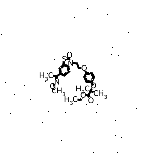 CCOC(=O)C(C)(C)Oc1ccc(OCCn2c(=O)sc3cc(/C(C)=N/OC)ccc32)cc1